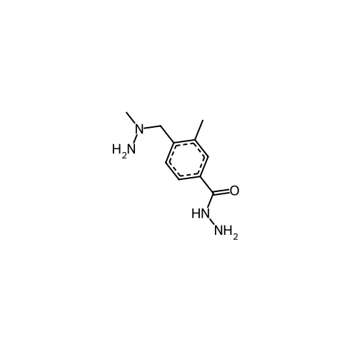 Cc1cc(C(=O)NN)ccc1CN(C)N